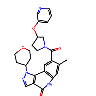 Cc1cc2[nH]c(=O)c3cnn(C4CCOCC4)c3c2cc1C(=O)N1CCC(Oc2cccnc2)C1